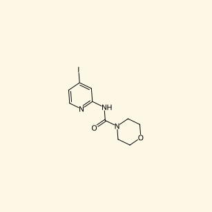 O=C(Nc1cc(I)ccn1)N1CCOCC1